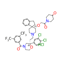 Cl.O=C1CCN(C(=O)CO[C@H]2Cc3ccccc3C23CCN(CC[C@@]2(c4ccc(Cl)c(Cl)c4)CN(C(=O)c4cc(C(F)(F)F)cc(C(F)(F)F)c4)CCO2)CC3)CC1